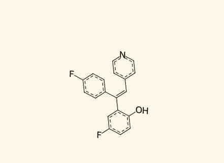 Oc1ccc(F)cc1C(=Cc1ccncc1)c1ccc(F)cc1